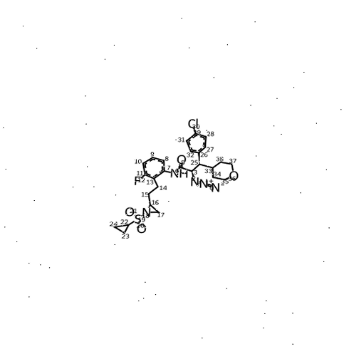 [N-]=[N+]=N[C@@H](C(=O)Nc1cccc(F)c1CCC1CN1S(=O)(=O)C1CC1)[C@@H](c1ccc(Cl)cc1)C1CCOCC1